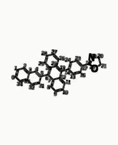 c1ccc2cc(-c3c4ccccc4c(-c4ccc(C5=NCCO5)cc4)c4ccccc34)ccc2c1